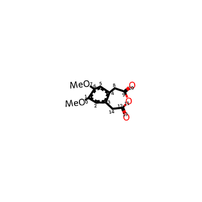 COc1cc2c(cc1OC)CC(=O)OC(=O)C2